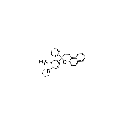 Cc1cc(C2(c3ccccc3)C=Cc3c(ccc4ccccc34)O2)ccc1N1CCCC1